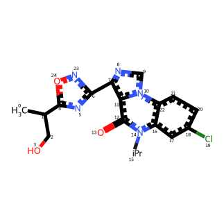 CC(CO)c1nc(-c2ncn3c2c(=O)n(C(C)C)c2cc(Cl)ccc23)no1